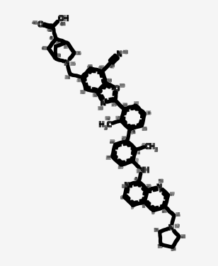 Cc1c(Nc2nccc3cc(CN4CCCC4)cnc23)cccc1-c1cccc(-c2nc3cc(CN4CC5CC4CC5C(=O)O)cc(C#N)c3o2)c1C